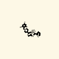 N[N+]12C=C(C3CCN(Cc4c(F)cc(F)cc4F)CC3)N=CC1=NC(c1ccco1)=N2